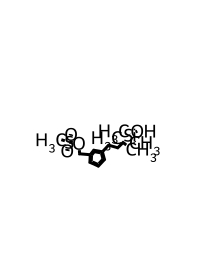 CC(C)(CCc1cccc(COS(C)(=O)=O)c1)[Si](C)(C)O